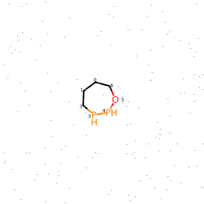 C1CCPPOC1